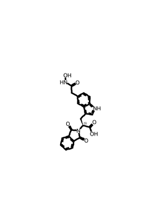 O=C(Cc1ccc2[nH]cc(C[C@@H](C(=O)O)N3C(=O)c4ccccc4C3=O)c2c1)NO